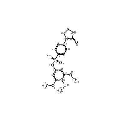 COc1cc(OS(=O)(=O)c2ccc(N3CCNC3=O)cc2)cc(OC)c1OC